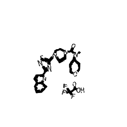 CN(C(=O)N1CCN(c2nc(-c3ccc4ccccc4n3)ns2)CC1)C1CCOCC1.O=C(O)C(F)(F)F